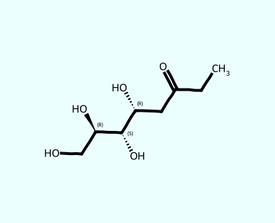 CCC(=O)C[C@@H](O)[C@H](O)[C@H](O)CO